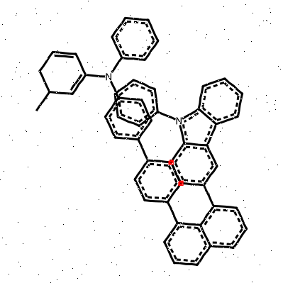 CC1C=C(N(c2ccccc2)c2ccc(-c3ccc(-c4cccc5cccc(-c6ccc7c(c6)c6ccccc6n7-c6ccccc6)c45)cc3)cc2)C=CC1